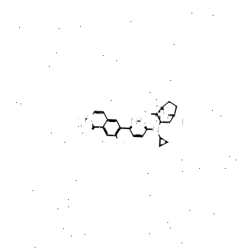 Cn1ccc2cc(-c3ccc(N(C4CC4)C4C[C@H]5CC[C@H](N5)C4F)nn3)c(O)cc2c1=O